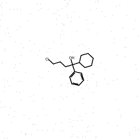 OC(CCCCl)(c1ccccc1)C1CCCCC1